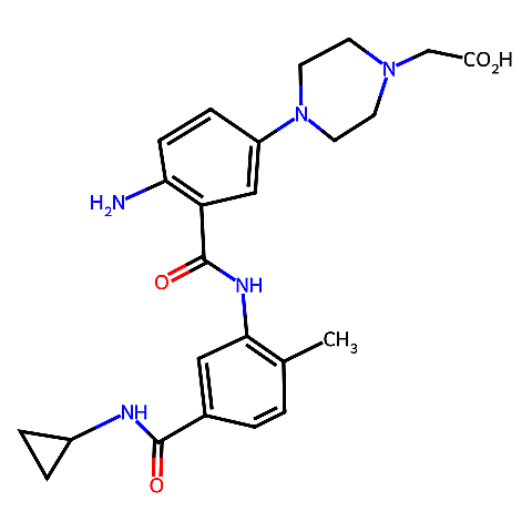 Cc1ccc(C(=O)NC2CC2)cc1NC(=O)c1cc(N2CCN(CC(=O)O)CC2)ccc1N